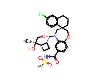 CCCC[C@](O)(CO)[C@@H]1CC[C@H]1CN1C[C@@]2(CCCc3cc(Cl)ccc32)COc2ccc(C(=O)NS(=O)(=O)C(C)C)cc21